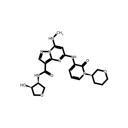 CNc1cc(Nc2cccn([C@@H]3CCCOC3)c2=O)nc2c(C(=O)N[C@H]3COC[C@H]3O)cnn12